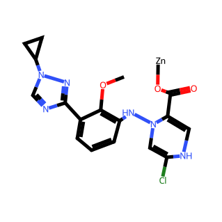 COc1c(NN2C=C(Cl)NC=C2C(=O)[O][Zn])cccc1-c1ncn(C2CC2)n1